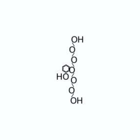 OCCOCCOCCOCCOCCOCCO.Oc1ccccc1